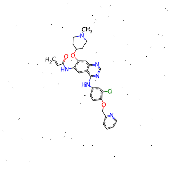 C=CC(=O)Nc1cc2c(Nc3ccc(OCc4ccccn4)c(Cl)c3)ncnc2cc1OC1CCN(C)CC1